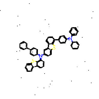 c1ccc(-c2ccc(N(c3ccc4sc5c(-c6ccc(N(c7ccccc7)c7ccccc7)cc6)cccc5c4c3)c3cccc4c3sc3ccccc34)cc2)cc1